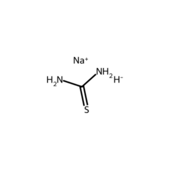 NC(N)=S.[H-].[Na+]